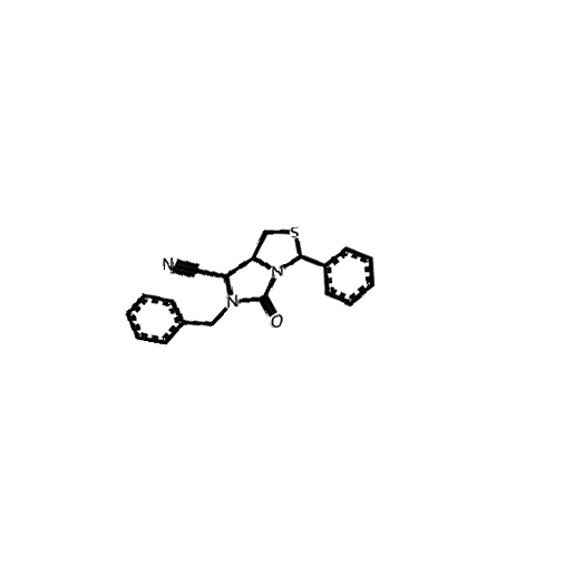 N#CC1C2CSC(c3ccccc3)N2C(=O)N1Cc1ccccc1